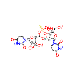 O=c1ccn([C@@H]2O[C@H](C(O)OP(O)(=S)O[C@@]3(O)[C@@H](CO)O[C@@H](n4ccc(=O)[nH]c4=O)[C@@H]3F)[C@@H](O)[C@H]2O)c(=O)[nH]1